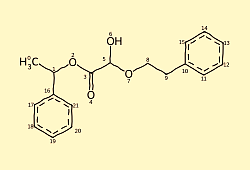 CC(OC(=O)C(O)OCCc1ccccc1)c1ccccc1